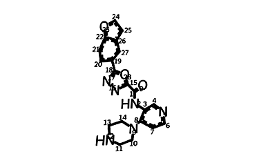 O=C(Nc1cnccc1N1CCNCC1)c1nnc(-c2ccc3occc3c2)o1